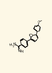 COc1ccc(-c2ccc(-c3ccc(C(=N)N)cc3)o2)cc1